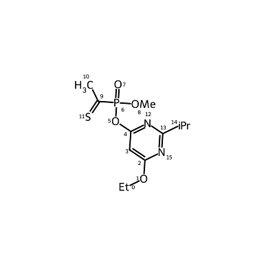 CCOc1cc(OP(=O)(OC)C(C)=S)nc(C(C)C)n1